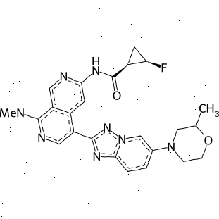 CNc1ncc(-c2nc3ccc(N4CCOC(C)C4)cn3n2)c2cc(NC(=O)[C@H]3C[C@H]3F)ncc12